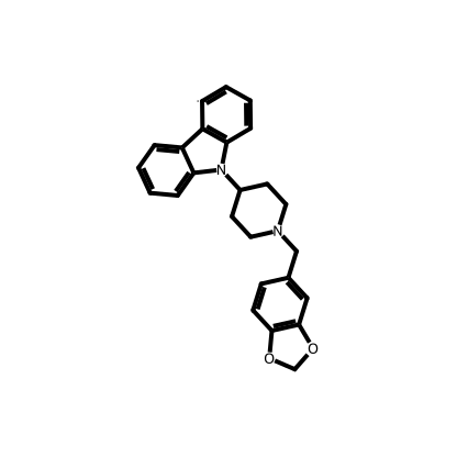 [c]1cccc2c1c1ccccc1n2C1CCN(Cc2ccc3c(c2)OCO3)CC1